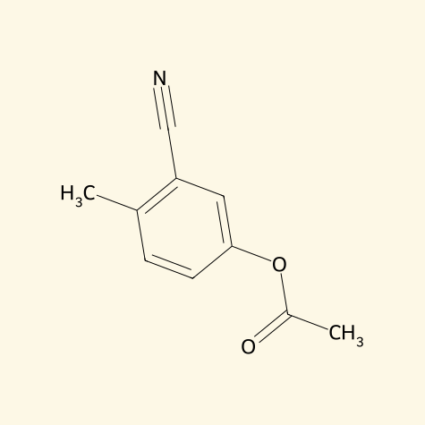 CC(=O)Oc1ccc(C)c(C#N)c1